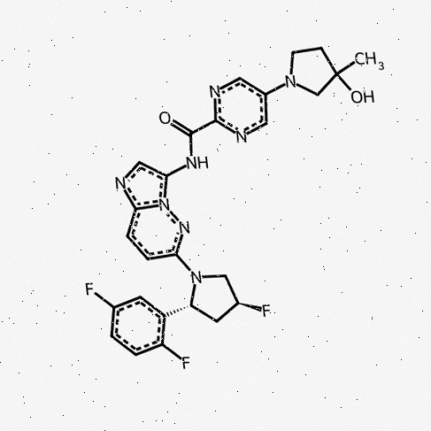 CC1(O)CCN(c2cnc(C(=O)Nc3cnc4ccc(N5C[C@@H](F)C[C@@H]5c5cc(F)ccc5F)nn34)nc2)C1